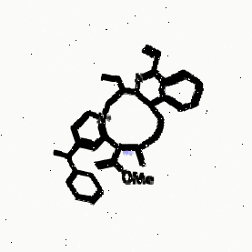 C=CC1=NC2C(C=C)C[n+]3ccc(C(C)C4CCCCC4)cc3/C(C(=C)OC)=C(/C)CCC2c2ccccc21